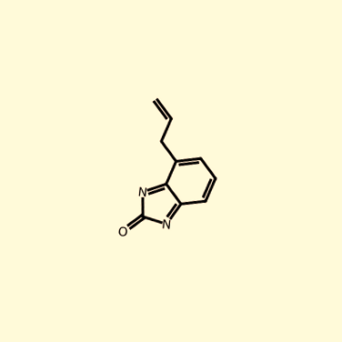 C=CCc1cccc2c1=NC(=O)N=2